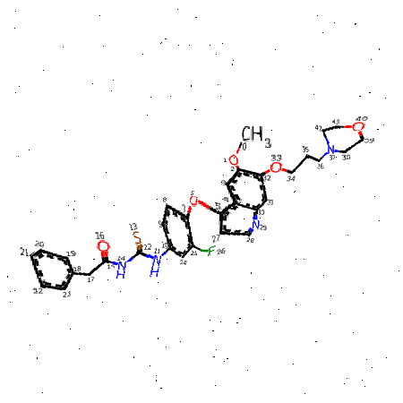 COc1cc2c(Oc3ccc(NC(=S)NC(=O)Cc4ccccc4)cc3F)ccnc2cc1OCCCN1CCOCC1